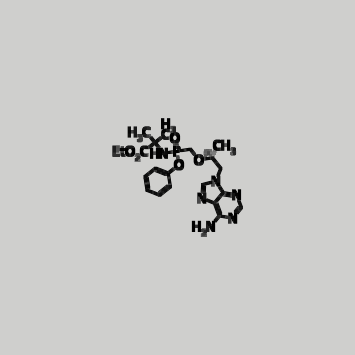 CCOC(=O)C(C)(C)NP(=O)(CO[C@H](C)Cn1cnc2c(N)ncnc21)Oc1ccccc1